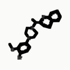 COc1cc(N2CCN(C(C)c3ccc4ccccc4n3)CC2)ccc1Br